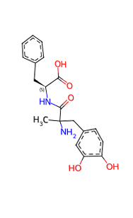 CC(N)(Cc1ccc(O)c(O)c1)C(=O)N[C@@H](Cc1ccccc1)C(=O)O